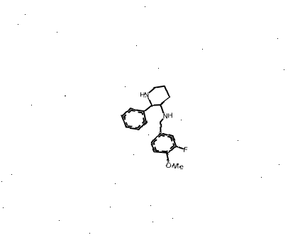 COc1ccc(CNC2CCCNC2c2ccccc2)cc1F